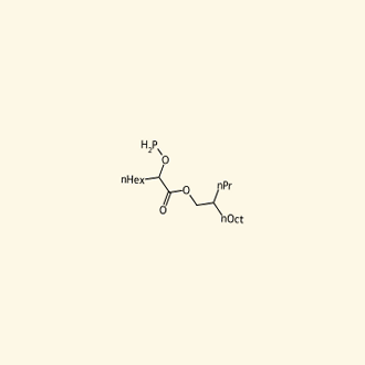 CCCCCCCCC(CCC)COC(=O)C(CCCCCC)OP